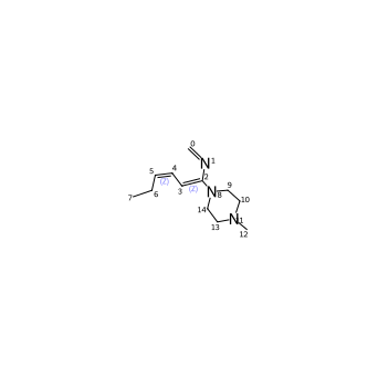 C=N/C(=C\C=C/CC)N1CCN(C)CC1